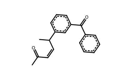 CC(=O)/C=C\C(C)c1cccc(C(=O)c2ccccc2)c1